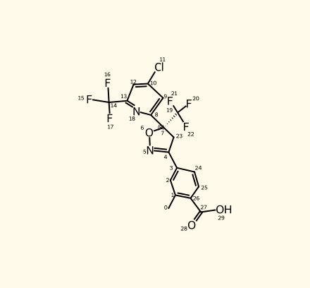 Cc1cc(C2=NO[C@](c3cc(Cl)cc(C(F)(F)F)n3)(C(F)(F)F)C2)ccc1C(=O)O